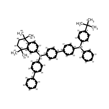 CC(C)(C)c1ccc(N(c2ccccc2)c2ccc(-c3ccc(N(c4ccc(-c5ccccc5)cc4)c4ccc5c(c4)C(C)(C)CCC5(C)C)cc3)cc2)cc1